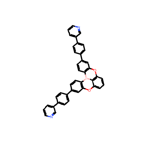 c1cncc(-c2ccc(-c3ccc4c(c3)Oc3cccc5c3B4c3ccc(-c4ccc(-c6cccnc6)cc4)cc3O5)cc2)c1